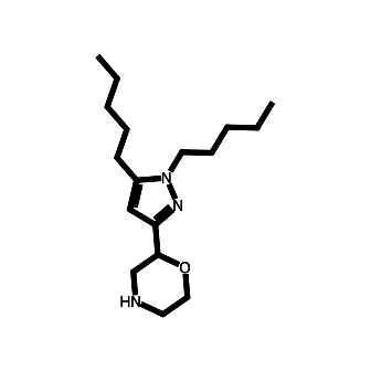 CCCCCc1cc(C2CNCCO2)nn1CCCCC